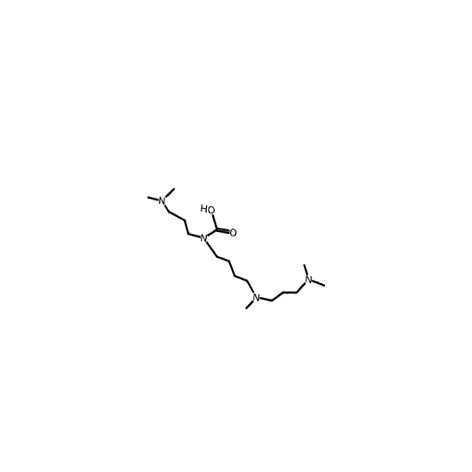 CN(C)CCCN(C)CCCCN(CCCN(C)C)C(=O)O